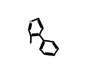 Cc1cnccc1-c1c[c]ccc1